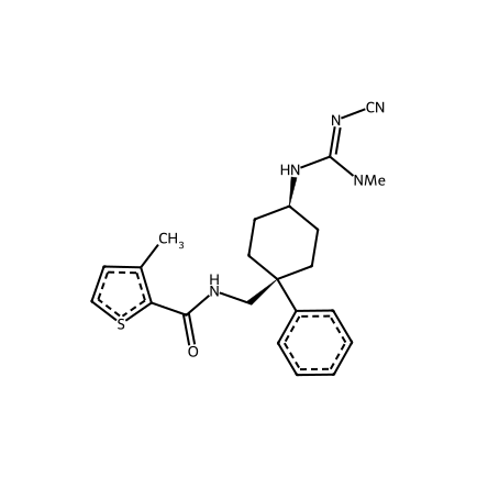 CN/C(=N\C#N)N[C@H]1CC[C@](CNC(=O)c2sccc2C)(c2ccccc2)CC1